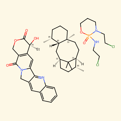 CC[C@@]1(O)C(=O)OCc2c1cc1n(c2=O)Cc2cc3ccccc3nc2-1.C[C@@H]1CCC[C@@]2(C)CC[C@H]3[C@H](C)CC[C@@H](C[C@H]12)C3(C)C.O=P1(NCCCl)OCCCN1CCCl